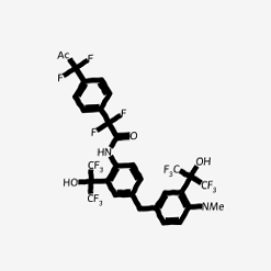 CNc1ccc(Cc2ccc(NC(=O)C(F)(F)c3ccc(C(F)(F)C(C)=O)cc3)c(C(O)(C(F)(F)F)C(F)(F)F)c2)cc1C(O)(C(F)(F)F)C(F)(F)F